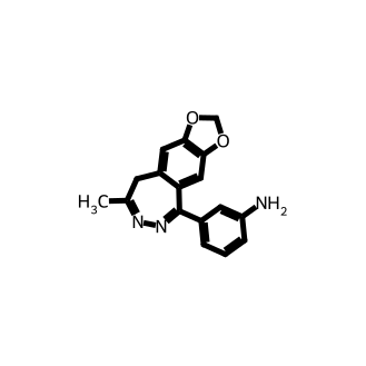 CC1=NN=C(c2cccc(N)c2)c2cc3c(cc2C1)OCO3